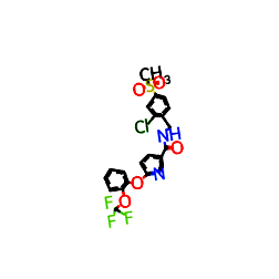 CS(=O)(=O)c1ccc(CNC(=O)c2ccc(Oc3ccccc3OC(F)(F)F)nc2)c(Cl)c1